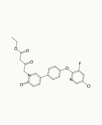 CCOC(=O)CC(=O)Cn1cc(-c2ccc(Oc3ncc(Cl)cc3F)cc2)ccc1=O